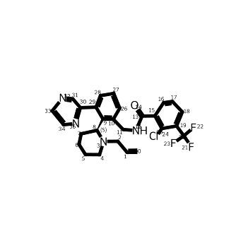 C=CCN1CCCC[C@H]1c1c(CNC(=O)c2cccc(C(F)(F)F)c2Cl)cccc1-c1cnccn1